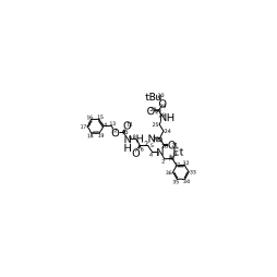 CC[C@H](CN(CCC(=O)CNC(=O)OCc1ccccc1)C(=O)[C@@H](N)CCNC(=O)OC(C)(C)C)c1ccccc1